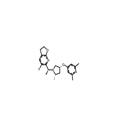 Cc1cc(O[C@@H]2C[C@H](C)N([C@@H](C)c3nc4c(cc3F)CCO4)C2)cc(C)n1